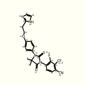 CC1(C)C(=O)N(c2ccc(C#N)c(C(F)(F)F)c2F)C(=S)N1c1ccc(OCCc2ncc[nH]2)cc1